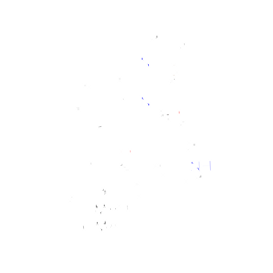 COc1cccc(C(=O)c2c(OC)ccc3[nH]c(C)c(CC(=O)N(c4nccs4)C4CCCCC4)c23)c1